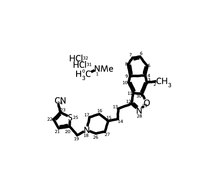 CNC.Cc1c2ccccc2cc2c(CCC3CCN(Cc4ccc(C#N)s4)CC3)noc12.Cl.Cl